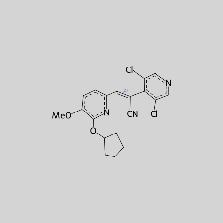 COc1ccc(/C=C(\C#N)c2c(Cl)cncc2Cl)nc1OC1CCCC1